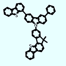 CC1(C)c2cc(-n3c4ccc(-c5ccccc5)cc4c4cc(-c5cccc6c5sc5ccccc56)ccc43)ccc2-c2c1ccc1c2sc2ccccc21